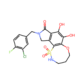 O=C1c2c(O)c(O)c3c(c2CN1Cc1ccc(F)c(Cl)c1)S(=O)(=O)NCCCO3